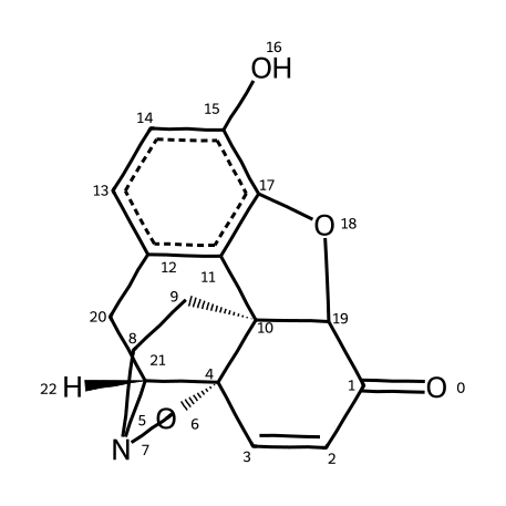 O=C1C=C[C@]23OCN4CC[C@@]25c2c(ccc(O)c2OC15)C[C@@H]43